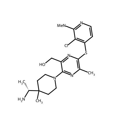 CNc1nccc(Sc2nc(CO)c(N3CCC(C)([C@@H](C)N)CC3)nc2C)c1Cl